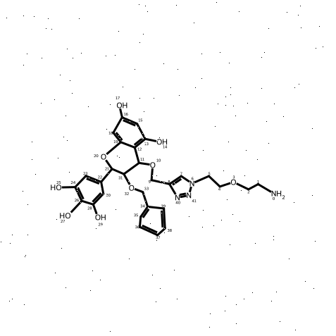 NCCOCCn1cc(COC2c3c(O)cc(O)cc3OC(c3cc(O)c(O)c(O)c3)C2OCc2ccccc2)nn1